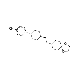 Clc1ccc([C@H]2CC[C@H](CCC3CCC4(CC3)OCCO4)CC2)cc1